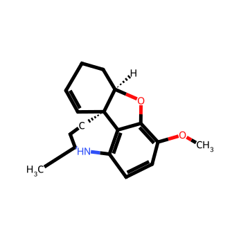 COc1ccc2c3c1O[C@@H]1CCC=C[C@]31CCC(C)N2